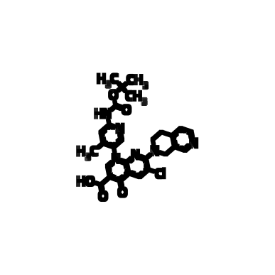 Cc1cc(NC(=O)OC(C)(C)C)ncc1-n1cc(C(=O)O)c(=O)c2cc(Cl)c(N3CCc4ccncc4C3)nc21